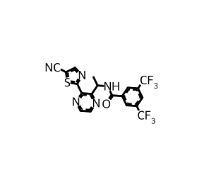 CC(NC(=O)c1cc(C(F)(F)F)cc(C(F)(F)F)c1)c1nccnc1-c1ncc(C#N)s1